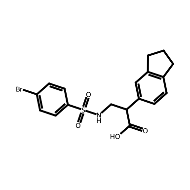 O=C(O)C(CNS(=O)(=O)c1ccc(Br)cc1)c1ccc2c(c1)CCC2